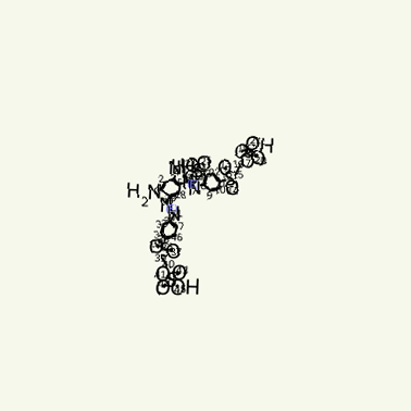 Nc1cc(N)c(/N=N/c2ccc(S(=O)(=O)CCOS(=O)(=O)O)cc2S(=O)(=O)O)cc1/N=N/c1ccc(S(=O)(=O)CCOS(=O)(=O)O)cc1